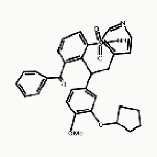 COc1ccc(C(Cc2ccncc2)c2c(C(=O)c3ccccc3)cccc2S(N)(=O)=O)cc1OC1CCCC1